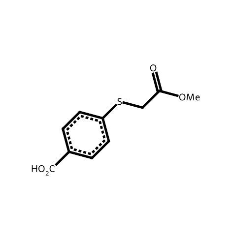 COC(=O)CSc1ccc(C(=O)O)cc1